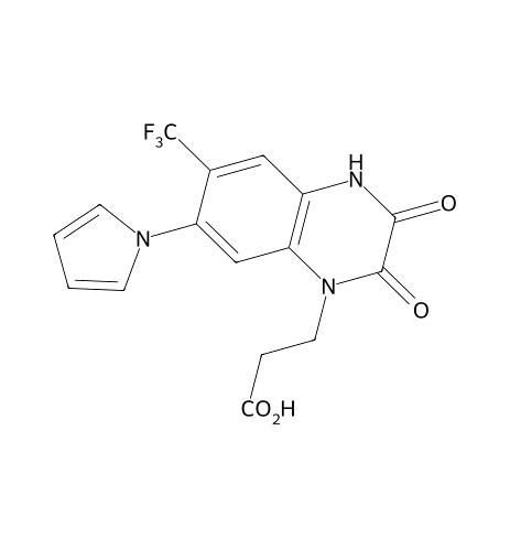 O=C(O)CCn1c(=O)c(=O)[nH]c2cc(C(F)(F)F)c(-n3cccc3)cc21